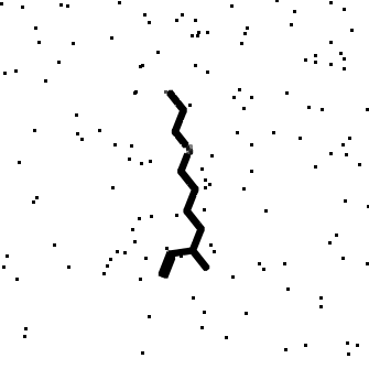 [CH2]CCSCCCCC(C)C=C